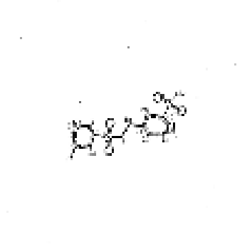 Cc1cncc(S(=O)(=O)CCc2ccnc(S(C)(=O)=O)c2)c1